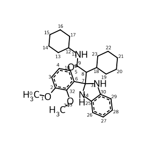 COc1cccc(C2(C(C(=O)NC3CCCCC3)C3CCCCC3)Nc3ccccc3N2)c1OC